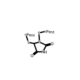 CCCCCSC1C(=O)NC(=O)N1SCCCCC